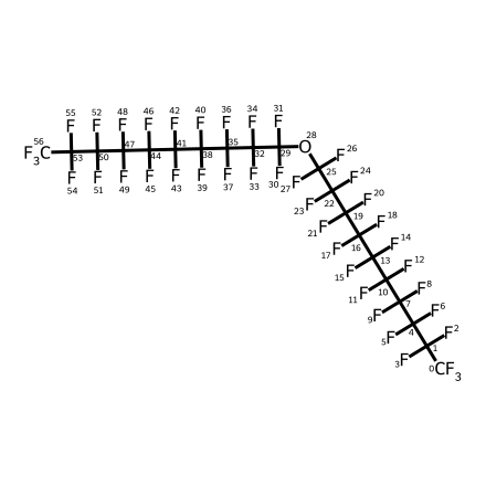 FC(F)(F)C(F)(F)C(F)(F)C(F)(F)C(F)(F)C(F)(F)C(F)(F)C(F)(F)C(F)(F)C(F)(F)OC(F)(F)C(F)(F)C(F)(F)C(F)(F)C(F)(F)C(F)(F)C(F)(F)C(F)(F)C(F)(F)C(F)(F)F